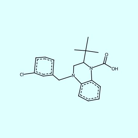 CC(C)(C)C1CN(Cc2cccc(Cl)c2)c2ccccc2N1C(=O)O